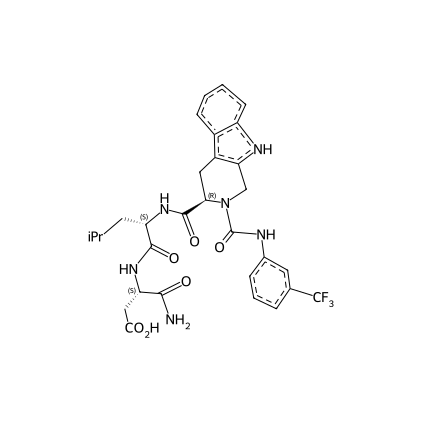 CC(C)C[C@H](NC(=O)[C@H]1Cc2c([nH]c3ccccc23)CN1C(=O)Nc1cccc(C(F)(F)F)c1)C(=O)N[C@@H](CC(=O)O)C(N)=O